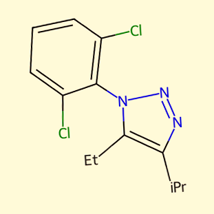 CCc1c(C(C)C)nnn1-c1c(Cl)cccc1Cl